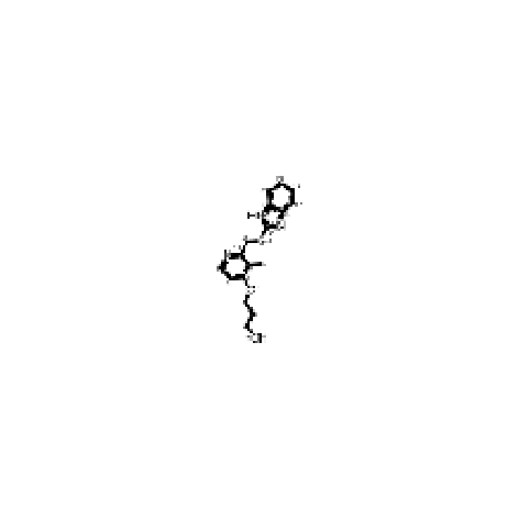 Cc1c(OCCCO)ccnc1CSc1nc2ccccc2[nH]1